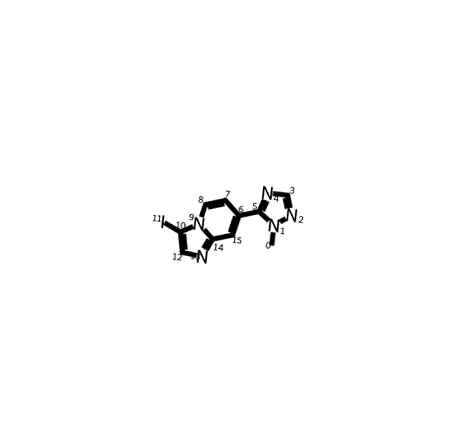 Cn1ncnc1-c1ccn2c(I)cnc2c1